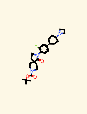 CC(C)(C)OC(=O)N1CCC2(CC1)CCN(c1ccc([C@H]3CC[C@H](N4CCC4)CC3)cc1F)C2=O